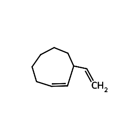 C=CC1/C=C\CCCCC1